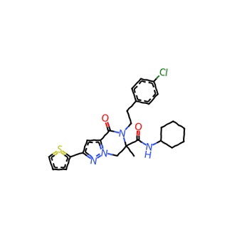 CC1(C(=O)NC2CCCCC2)Cn2nc(-c3cccs3)cc2C(=O)N1CCc1ccc(Cl)cc1